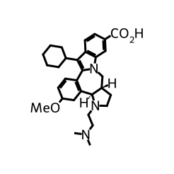 COC1C=CC2=C(C1)[C@H]1[C@@H](CCN1CCN(C)C)Cn1c2c(C2CCCCC2)c2ccc(C(=O)O)cc21